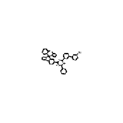 N#Cc1cccc(-c2cccc(C3N=C(c4ccc5c(c4)C4(c6ccccc6Oc6ccccc64)c4ccccc4-5)NC(c4ccccc4)N3)c2)c1